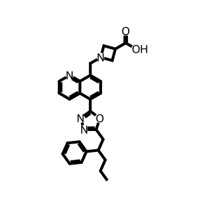 CCCC(Cc1nnc(-c2ccc(CN3CC(C(=O)O)C3)c3ncccc23)o1)c1ccccc1